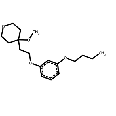 CCCCOc1cccc(OCCC2(OC)CCOCC2)c1